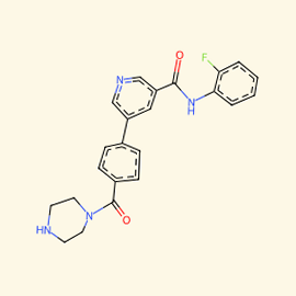 O=C(Nc1ccccc1F)c1cncc(-c2ccc(C(=O)N3CCNCC3)cc2)c1